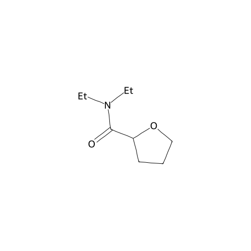 CCN(CC)C(=O)C1CCCO1